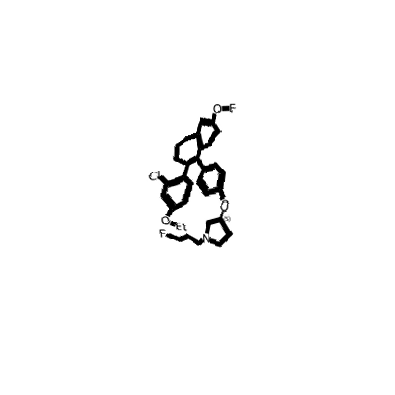 CCOc1ccc(C2=C(c3ccc(O[C@H]4CCN(CCCF)C4)cc3)c3ccc(OF)cc3CCC2)c(Cl)c1